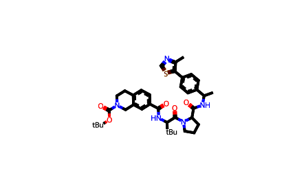 Cc1ncsc1-c1ccc(C(C)NC(=O)C2CCCN2C(=O)C(NC(=O)c2ccc3c(c2)CN(C(=O)OC(C)(C)C)CC3)C(C)(C)C)cc1